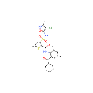 Cc1cc(C)c(NC(=O)c2sc(C)cc2S(=O)(=O)Nc2onc(C)c2Cl)c(C(=O)C2CCCCC2)c1